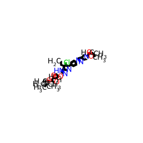 C=CCc1c(Cl)c(-c2ccc(-n3cc4c(n3)CN(C(=O)OC(C)(C)C)C4)cc2)nc2nc(O[C@@H]3CO[C@H]4[C@@H]3OC[C@H]4O[Si](C)(C)C(C)(C)C)[nH]c12